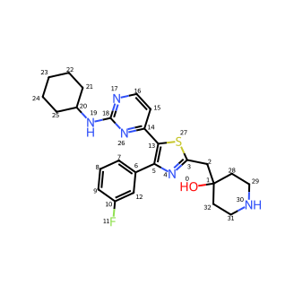 OC1(Cc2nc(-c3cccc(F)c3)c(-c3ccnc(NC4CCCCC4)n3)s2)CCNCC1